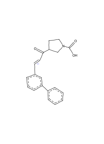 O=C(/C=C/c1cccc(-c2ccccc2)c1)C1CCN(C(=O)O)C1